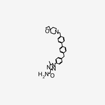 Cc1nc(C(N)=O)nn1-c1ccc(Cc2ccc(-c3ccc(CN4CCC5(CCO5)CC4)cc3)cc2)cc1